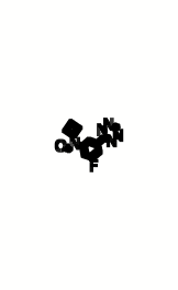 O=CN(c1cc(F)cc(-c2nncnn2)c1)C1CCC1